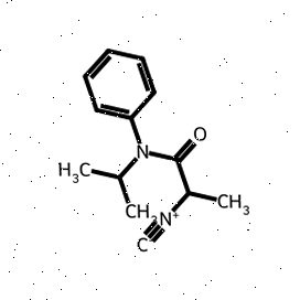 [C-]#[N+]C(C)C(=O)N(c1ccccc1)C(C)C